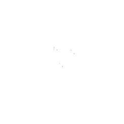 c1ccc2c(-c3nc(-n4c5ccccc5c5ccc6c7ccccc7sc6c54)nc4sc5ccccc5c34)cccc2c1